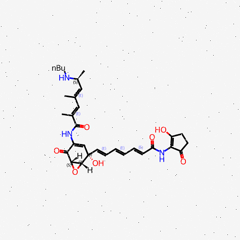 CCCCN[C@@H](C)/C=C(C)/C=C(\C)C(=O)NC1=C[C@@](O)(/C=C/C=C/C=C/C(=O)NC2=C(O)CCC2=O)[C@@H]2O[C@@H]2C1=O